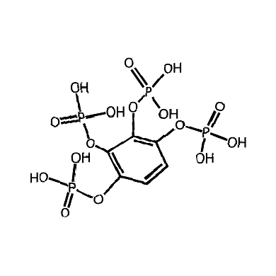 O=P(O)(O)Oc1ccc(OP(=O)(O)O)c(OP(=O)(O)O)c1OP(=O)(O)O